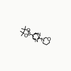 CC1(C)OB(c2cnc(N3CCCOC3)nc2)OC1(C)C